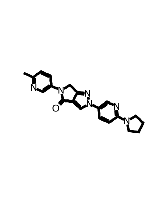 Cc1ccc(N2Cc3nn(-c4ccc(N5CCCC5)nc4)cc3C2=O)cn1